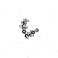 CC(C)(C)c1nc(C(=O)NCc2ccc(-c3ccnc4[nH]c(-c5ccc(N6CCCC6)cn5)nc34)cc2F)no1